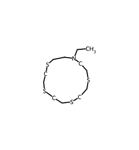 CCN1CCSCCSCCSCCSCC1